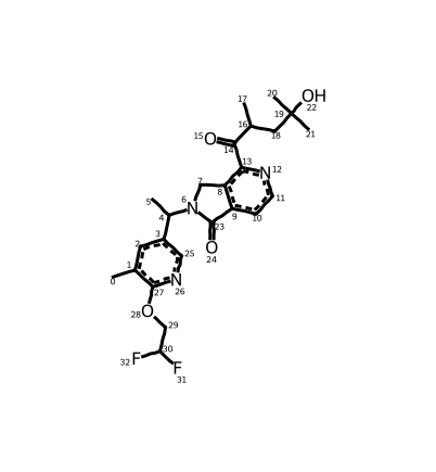 Cc1cc(C(C)N2Cc3c(ccnc3C(=O)C(C)CC(C)(C)O)C2=O)cnc1OCC(F)F